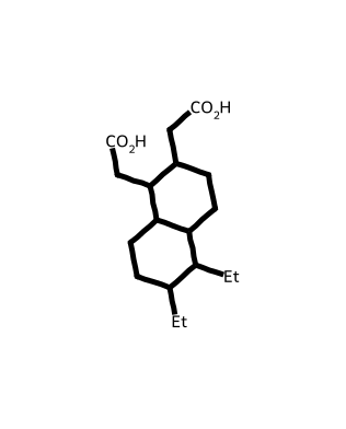 CCC1CCC2C(CC(=O)O)C(CC(=O)O)CCC2C1CC